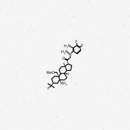 COC[C@]12CC[C@H](C(C)(C)F)C[C@@]1(N)CC[C@@H]1C2CC[C@@]2(C)C1CC[C@@H]2C(=O)CN(N)c1ccc(F)c(F)c1N